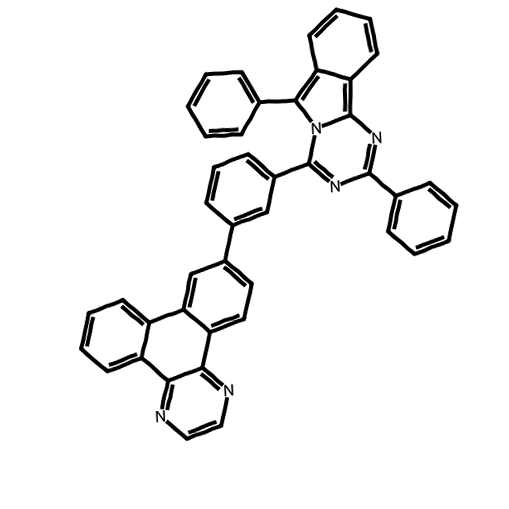 c1ccc(-c2nc(-c3cccc(-c4ccc5c(c4)c4ccccc4c4nccnc54)c3)n3c(-c4ccccc4)c4ccccc4c3n2)cc1